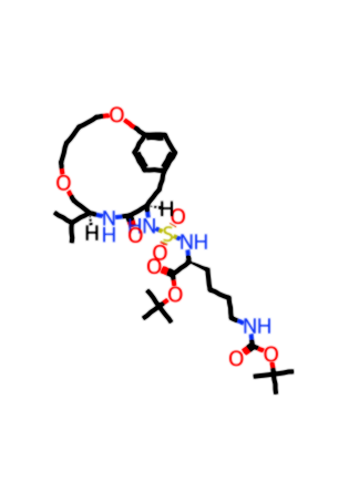 CC(C)[C@H]1COCCCCOc2ccc(cc2)C[C@@H](NS(=O)(=O)N[C@@H](CCCCNC(=O)OC(C)(C)C)C(=O)OC(C)(C)C)C(=O)N1